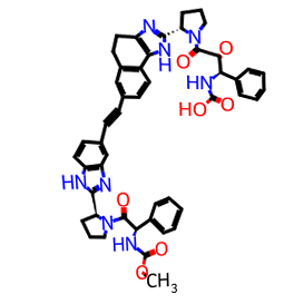 COC(=O)N[C@@H](C(=O)N1CCC[C@H]1c1nc2cc(C#Cc3ccc4c(c3)CCc3nc([C@@H]5CCCN5C(=O)C(=O)[C@H](NC(=O)O)c5ccccc5)[nH]c3-4)ccc2[nH]1)c1ccccc1